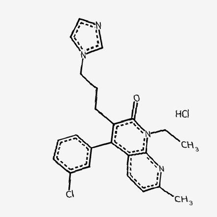 CCn1c(=O)c(CCCn2ccnc2)c(-c2cccc(Cl)c2)c2ccc(C)nc21.Cl